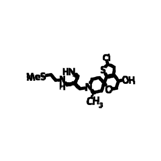 CSCCN/C=C(\C=N)CN1CCC2(C[C@@H]1C)OCC(O)C1=C2SC(Cl)C1